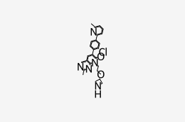 Cc1cccc(-c2ccc(-c3cc4cnc(C)nc4n(CCOC4CNC4)c3=O)c(Cl)c2)n1